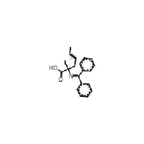 C/C=C/CC(I)(N=C(c1ccccc1)c1ccccc1)C(=O)O